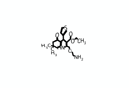 CCOC(=O)C1=C(COCCN)NC2=C(C(=O)CC(C)(C)C2)C1c1ccsc1